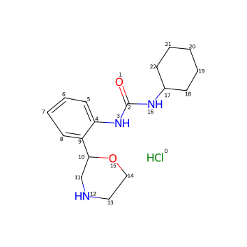 Cl.O=C(Nc1ccccc1C1CNCCO1)NC1CCCCC1